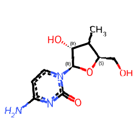 CC1[C@@H](O)[C@H](n2ccc(N)nc2=O)O[C@@H]1CO